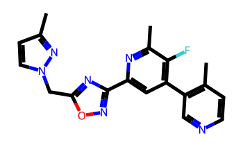 Cc1ccn(Cc2nc(-c3cc(-c4cnccc4C)c(F)c(C)n3)no2)n1